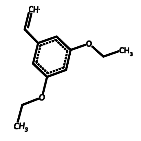 [CH]=Cc1cc(OCC)cc(OCC)c1